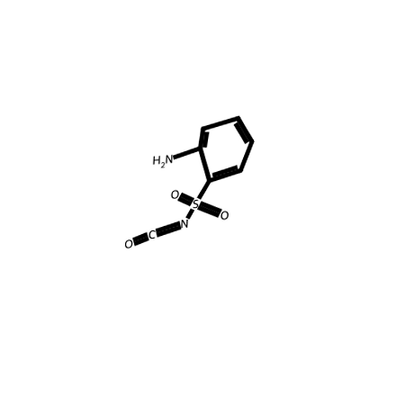 Nc1ccccc1S(=O)(=O)N=C=O